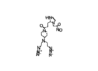 [N-]=[N+]=NCCN(CCN=[N+]=[N-])C1CCN(C(=O)CCC2NC=CN2CC(=O)N=O)CC1